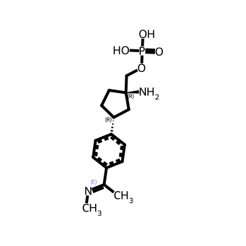 C/N=C(\C)c1ccc([C@@H]2CC[C@](N)(COP(=O)(O)O)C2)cc1